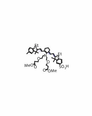 CCN1/C(=C/C=C2\CCCC(/C=C/C3=[N+](CC)c4ccc(C)cc4C3(C)C)=C2N(CCOCCC(=O)OC)CCOCCC(=O)OC)C(C)(C)c2cc(S(=O)(=O)O)ccc21